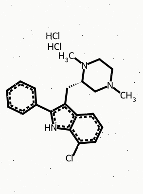 CN1CCN(C)[C@@H](Cc2c(-c3ccccc3)[nH]c3c(Cl)cccc23)C1.Cl.Cl